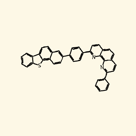 c1ccc(-c2ccc3ccc4ccc(-c5ccc(-c6ccc7c(ccc8c9ccccc9sc78)c6)cc5)nc4c3n2)cc1